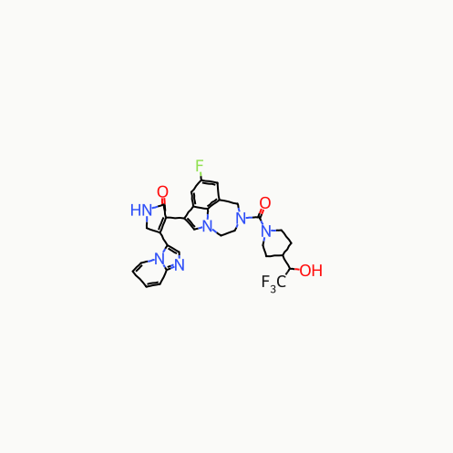 O=C1NCC(c2cnc3ccccn23)=C1c1cn2c3c(cc(F)cc13)CN(C(=O)N1CCC(C(O)C(F)(F)F)CC1)CC2